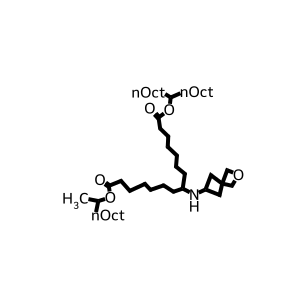 CCCCCCCCC(C)OC(=O)CCCCCCC(CCCCCCC(=O)OC(CCCCCCCC)CCCCCCCC)NC1CC2(COC2)C1